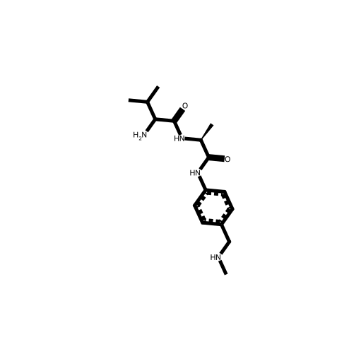 CNCc1ccc(NC(=O)[C@H](C)NC(=O)C(N)C(C)C)cc1